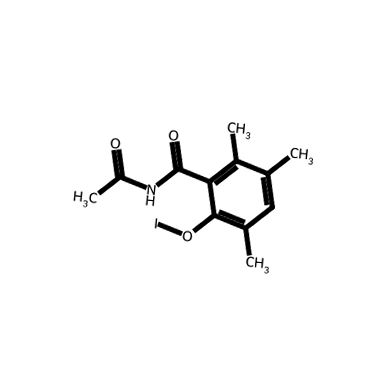 CC(=O)NC(=O)c1c(C)c(C)cc(C)c1OI